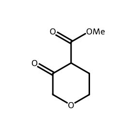 COC(=O)C1CCOCC1=O